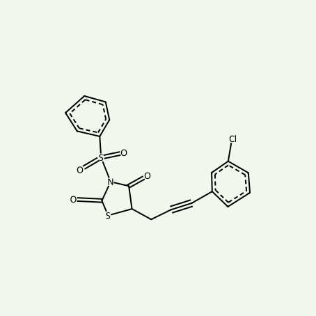 O=C1SC(CC#Cc2cccc(Cl)c2)C(=O)N1S(=O)(=O)c1ccccc1